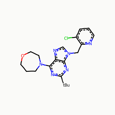 CC(C)(C)c1nc(N2CCCOCC2)c2ncn(Cc3ncccc3Cl)c2n1